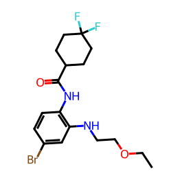 CCOCCNc1cc(Br)ccc1NC(=O)C1CCC(F)(F)CC1